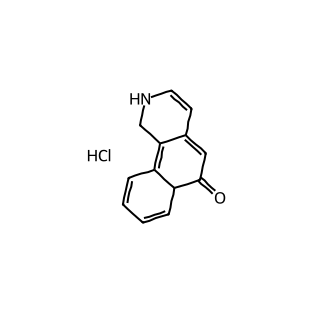 Cl.O=C1C=C2C=CNCC2=C2C=CC=CC12